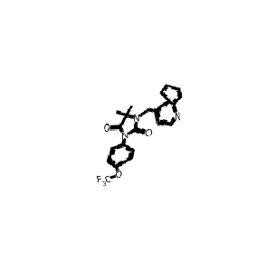 CC1(C)C(=O)N(c2ccc(OC(F)(F)F)cc2)C(=O)N1Cc1ccnc2ccccc12